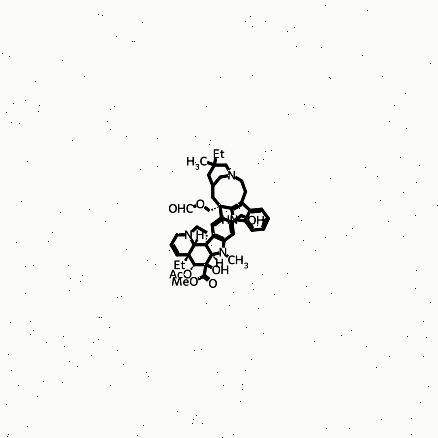 CCC1(C)CC2CN(CCc3c([nH]c4ccccc34)[C@@](COC=O)(c3cc4c(cc3CO)N(C)[C@H]3C(O)(C(=O)OC)[C@H](OC(C)=O)[C@]5(CC)C=CCN6CC[C@]43[C@@H]65)C2)C1